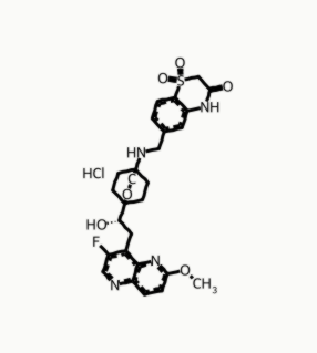 COc1ccc2ncc(F)c(C[C@H](O)C34CCC(NCc5ccc6c(c5)NC(=O)CS6(=O)=O)(CC3)CO4)c2n1.Cl